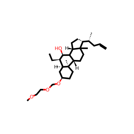 C=CC[C@@H](C)[C@H]1CC[C@H]2C3[C@H](O)[C@H](CC)[C@@H]4C[C@H](OCOCCOC)CC[C@]4(C)[C@H]3CCC12C